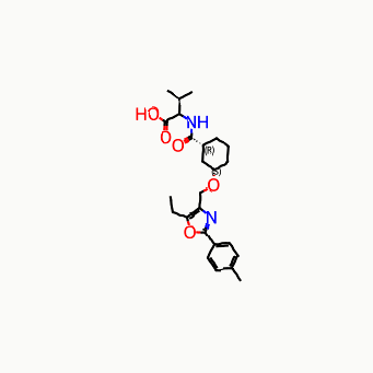 CCc1oc(-c2ccc(C)cc2)nc1CO[C@H]1CCC[C@@H](C(=O)NC(C(=O)O)C(C)C)C1